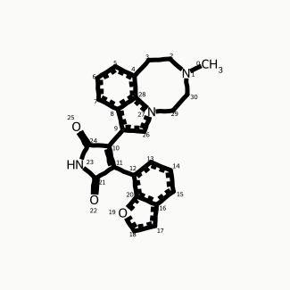 CN1CCc2cccc3c(C4=C(c5cccc6ccoc56)C(=O)NC4=O)cn(c23)CC1